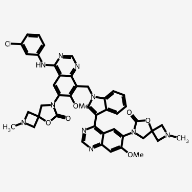 COc1cc2ncnc(-c3cn(Cc4c(OC)c(N5CC6(CN(C)C6)OC5=O)cc5c(Nc6cccc(Cl)c6)ncnc45)c4ccccc34)c2cc1N1CC2(CN(C)C2)OC1=O